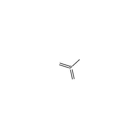 C=P(=C)C